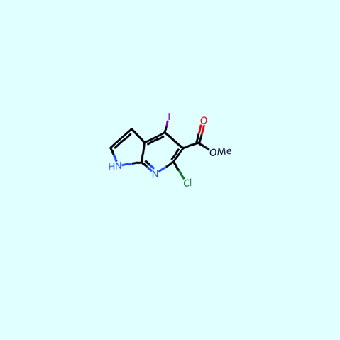 COC(=O)c1c(Cl)nc2[nH]ccc2c1I